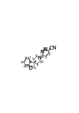 N#Cc1ccc(N2CCC3(CC2)COc2ccccc23)nn1